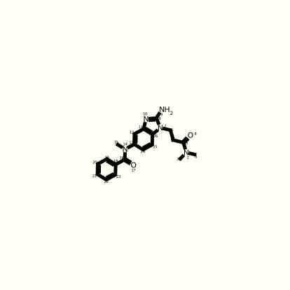 CN(C)C(=O)CCn1c(N)nc2cc(N(C)C(=O)c3ccccc3)ccc21